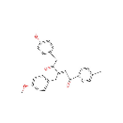 COc1ccc(CC(=O)C(=CC(=O)c2ccc(C)cc2)Cc2ccc(OC)cc2)cc1